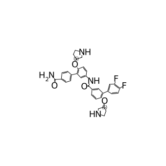 NC(=O)c1ccc(-c2cc(NC(=O)c3ccc(O[C@H]4CCNC4)c(-c4ccc(F)c(F)c4)c3)ccc2O[C@H]2CCNC2)cc1